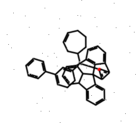 C1=CC2c3ccccc3C34c5cc(N(C6=CC(c7ccccc7)=CCC6)C6CC=CCCC6)ccc5-c5cccc(c53)C(=C1)C24